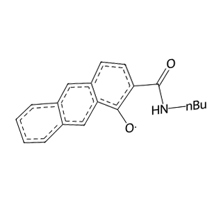 CCCCNC(=O)c1ccc2cc3ccccc3cc2c1[O]